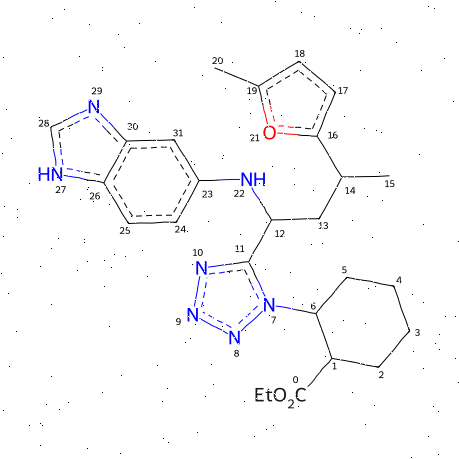 CCOC(=O)C1CCCCC1n1nnnc1C(CC(C)c1ccc(C)o1)Nc1ccc2[nH]cnc2c1